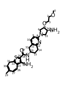 COCCO[C@H]1CN(c2ccc3c(n2)CC[C@H](NC(=O)c2sc4c(c2N)C=CC(C)=CC4)C3)C[C@@H]1N